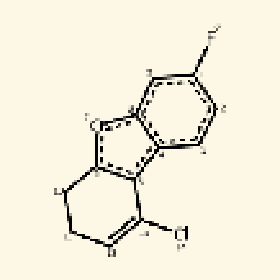 Fc1ccc2c3c(oc2c1)CCC=C3Cl